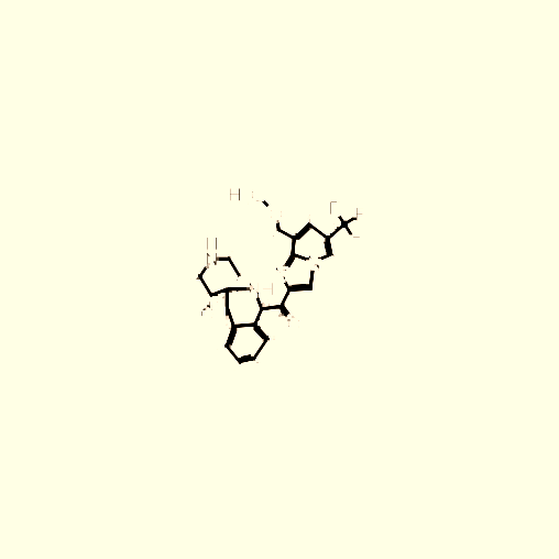 COCc1cc(C(F)(F)F)cn2cc(C(=O)C3N[C@@]4(CCNC[C@H]4O)Cc4ccccc43)nc12